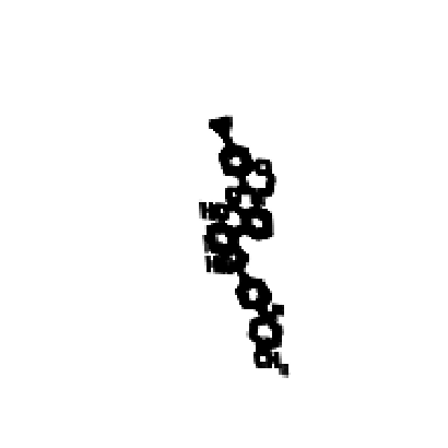 CN1CCC(F)(c2ccc(-c3cc4c(-c5cccc(N6CCOc7cc(C8CC8)ccc7C6=O)c5CO)ccnc4[nH]3)cc2)CC1